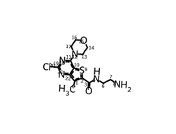 Cc1c(C(=O)NCCN)sc2c(N3CCOCC3)nc(Cl)nc12